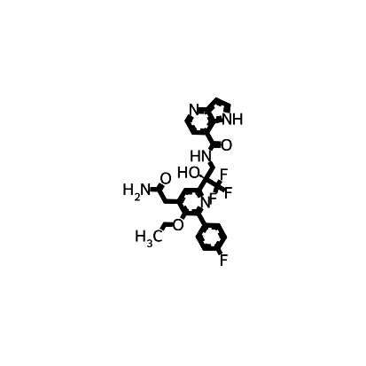 CCOc1c(CC(N)=O)cc([C@@](O)(CNC(=O)c2ccnc3cc[nH]c23)C(F)(F)F)nc1-c1ccc(F)cc1